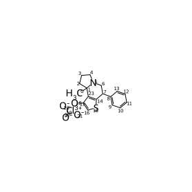 CC12CCCN1CC(c1ccccc1)c1scc(O[Cl+3]([O-])([O-])[O-])c12